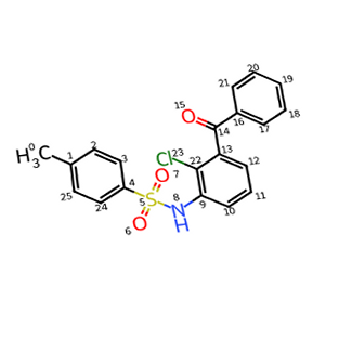 Cc1ccc(S(=O)(=O)Nc2cccc(C(=O)c3ccccc3)c2Cl)cc1